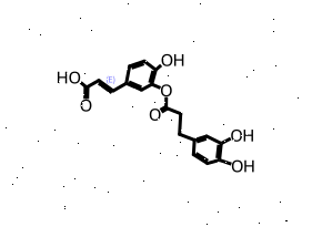 O=C(O)/C=C/c1ccc(O)c(OC(=O)CCc2ccc(O)c(O)c2)c1